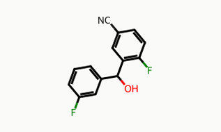 N#Cc1ccc(F)c(C(O)c2cccc(F)c2)c1